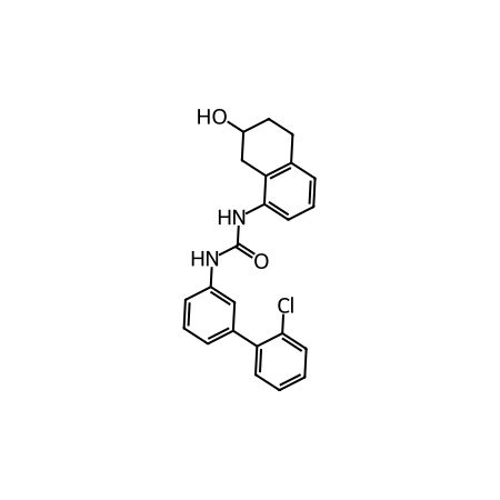 O=C(Nc1cccc(-c2ccccc2Cl)c1)Nc1cccc2c1CC(O)CC2